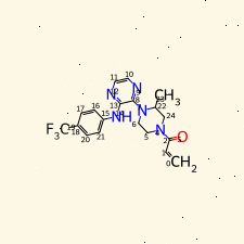 C=CC(=O)N1CCN(c2nccnc2Nc2ccc(C(F)(F)F)cc2)C(C)C1